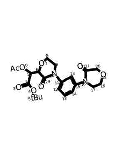 CC(=O)OC(C(=O)OC(C)(C)C)C1OCCN(c2cccc(N3CCOCC3=O)c2)C1=O